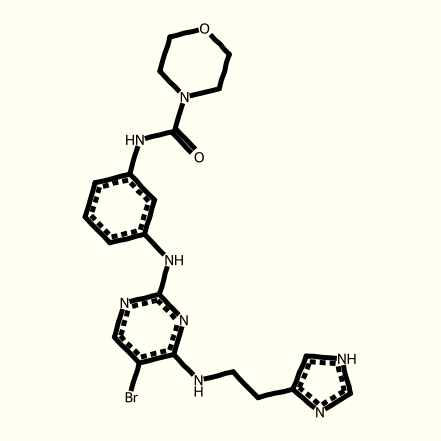 O=C(Nc1cccc(Nc2ncc(Br)c(NCCc3c[nH]cn3)n2)c1)N1CCOCC1